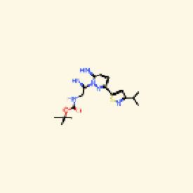 CC(C)c1cc(-c2ccc(=N)n(C(=N)CNC(=O)OC(C)(C)C)n2)sn1